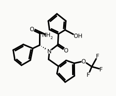 NC(=O)[C@@H](c1ccccc1)N(Cc1cccc(OC(F)(F)F)c1)C(=O)c1ccccc1O